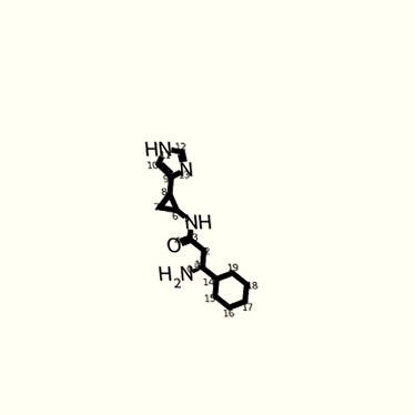 N[C@@H](CC(=O)NC1CC1c1c[nH]cn1)C1CCCCC1